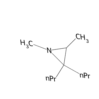 CCCC1(CCC)C(C)N1C